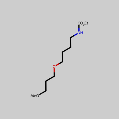 CCOC(=O)NCCCCOCCCOC